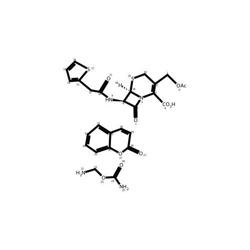 CC(=O)OCC1=C(C(=O)O)N2C(=O)[C@@H](NC(=O)Cc3cccs3)[C@H]2SC1.NCOC(N)=O.O=c1ccc2ccccc2o1